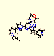 CN1CCCC(c2ccn(-c3cc(N4CCOCC4)n4nc(-c5ccncc5)cc4n3)n2)C1